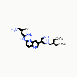 COCC(CN/C=C(\C=N)c1cnc2ccc(N/C(N)=C/C(=C\N)C(C)C)nc2c1)COC